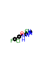 O=C(Nc1cnc(-n2nccn2)c(Cl)c1)c1ccc(-c2ccc(F)cc2Cl)cc1